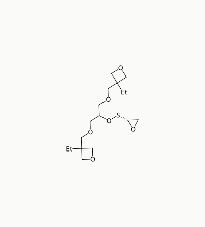 CCC1(COCC(COCC2(CC)COC2)OS[C@@H]2CO2)COC1